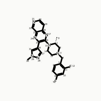 C[C@@H]1CN(Cc2ccc(F)cc2F)CCN1c1nc2ccncc2nc1-c1cnn(C)c1